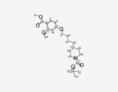 COC(=O)c1ccc(OCCCCC2CCN(C(=O)OC(C)(C)C)CC2)cc1OC